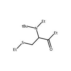 CCSCC(C(=O)CC)N(CC)C(C)(C)C